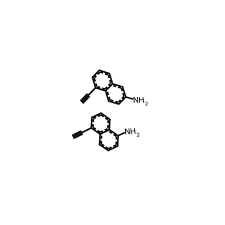 C#Cc1cccc2c(N)cccc12.C#Cc1cccc2cc(N)ccc12